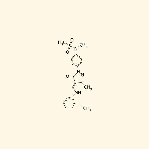 CCc1ccccc1NC=C1C(=O)N(c2ccc(N(C)S(C)(=O)=O)cc2)N=C1C